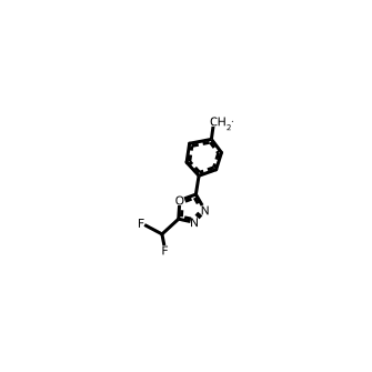 [CH2]c1ccc(-c2nnc(C(F)F)o2)cc1